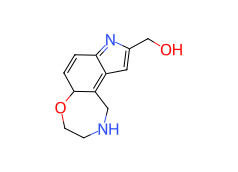 OCC1=CC2=C3CNCCOC3C=CC2=N1